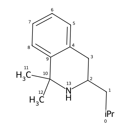 CC(C)CC1Cc2ccccc2C(C)(C)N1